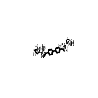 C[C@@H]1C[C@@H](c2ncc(-c3ccc(-c4ccc(-c5cnc([C@@H]6C[C@H]7C[C@H]7N6)[nH]5)cc4)cc3)[nH]2)N[C@@H]1C